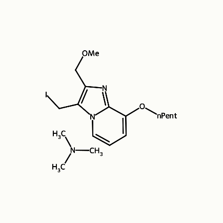 CCCCCOc1cccn2c(CI)c(COC)nc12.CN(C)C